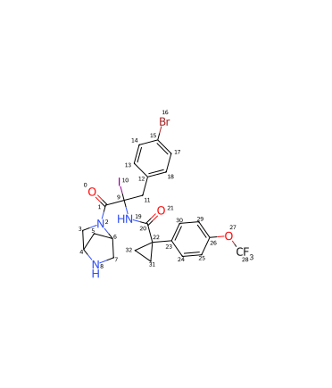 O=C(N1CC2CC1CN2)C(I)(Cc1ccc(Br)cc1)NC(=O)C1(c2ccc(OC(F)(F)F)cc2)CC1